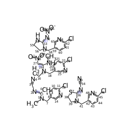 C/C(=N\C#N)N(C)Cc1ccc(Cl)nc1.CCN(Cc1ccc(Cl)nc1)/C(=C/[N+](=O)[O-])NC.N#C/N=C1\SCCN1Cc1ccc(Cl)nc1.O=[N+]([O-])/N=C1\NCCN1Cc1ccc(Cl)nc1